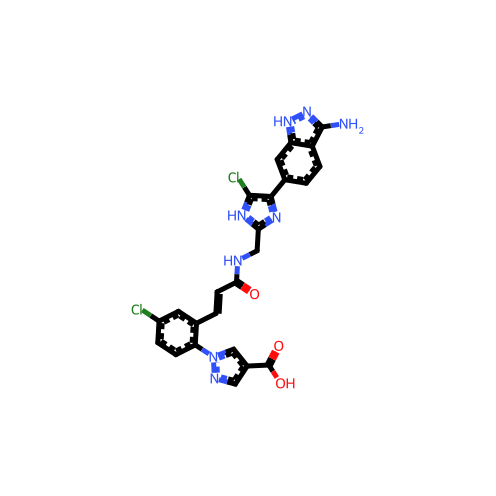 Nc1n[nH]c2cc(-c3nc(CNC(=O)/C=C/c4cc(Cl)ccc4-n4cc(C(=O)O)cn4)[nH]c3Cl)ccc12